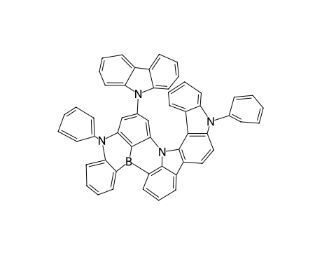 c1ccc(N2c3ccccc3B3c4c2cc(-n2c5ccccc5c5ccccc52)cc4-n2c4c3cccc4c3ccc4c(c5ccccc5n4-c4ccccc4)c32)cc1